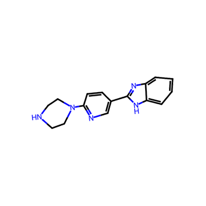 c1ccc2[nH]c(-c3ccc(N4CCNCC4)nc3)nc2c1